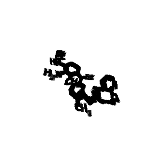 CCNc1ccc(C(CC)c2ccc(C)c(CN3CCOc4ncccc4S3)c2)c(C)c1N